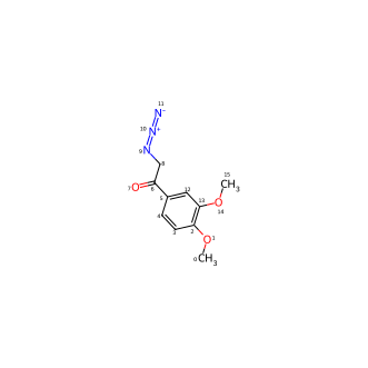 COc1ccc(C(=O)CN=[N+]=[N-])cc1OC